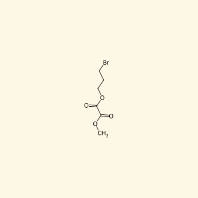 COC(=O)C(=O)OCCCBr